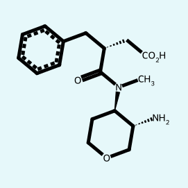 CN(C(=O)[C@@H](CC(=O)O)Cc1ccccc1)[C@@H]1CCOC[C@H]1N